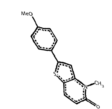 COc1ccc(-c2cc3c(ccc(=O)n3C)s2)cc1